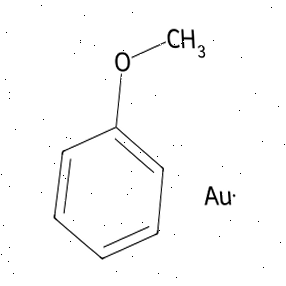 COc1ccccc1.[Au]